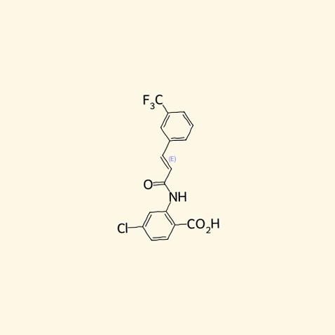 O=C(/C=C/c1cccc(C(F)(F)F)c1)Nc1cc(Cl)ccc1C(=O)O